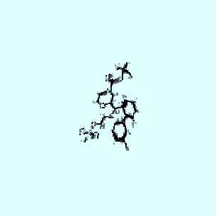 Cc1cccc(-c2c(F)cccc2C(OCCOS(C)(=O)=O)C2CN(C(=O)OC(C)(C)C)CCO2)c1